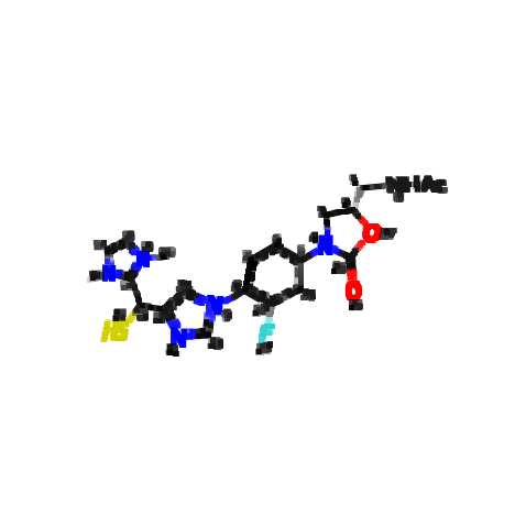 CC(=O)NC[C@H]1CN(c2ccc(-n3cnc(C(S)c4nccn4C)c3)c(F)c2)C(=O)O1